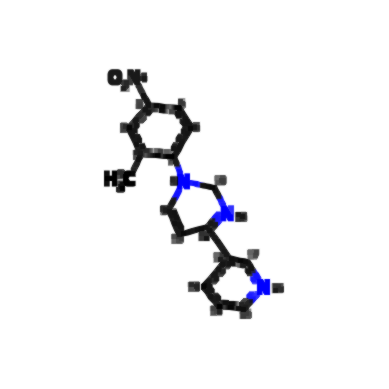 Cc1cc([N+](=O)[O-])ccc1N1C=CC(c2cccnc2)=NC1